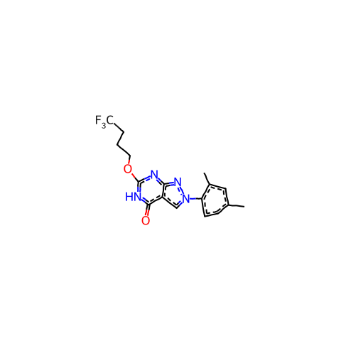 Cc1ccc(-n2cc3c(=O)[nH]c(OCCCC(F)(F)F)nc3n2)c(C)c1